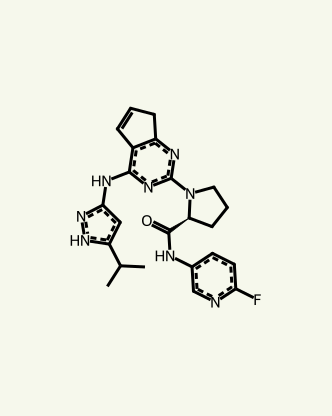 CC(C)c1cc(Nc2nc(N3CCC[C@H]3C(=O)Nc3ccc(F)nc3)nc3c2C=CC3)n[nH]1